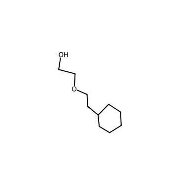 OCCOCCC1CCCCC1